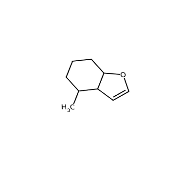 CC1CCCC2OC=CC12